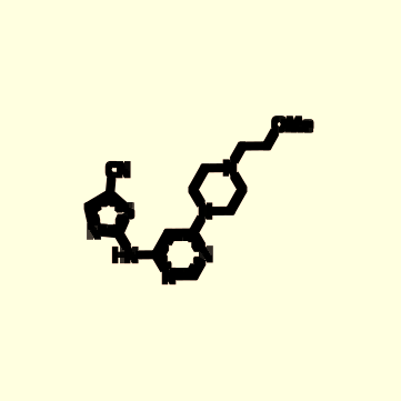 COCCN1CCN(c2cc(Nc3ncc(C#N)s3)ncn2)CC1